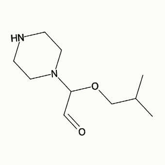 CC(C)COC(C=O)N1CCNCC1